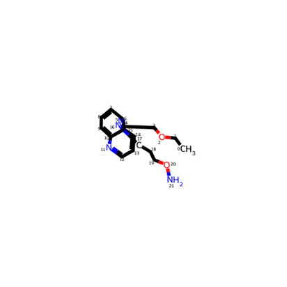 CCOCC1N=C2C=CC=C3N=CC=CC32N1CCCON